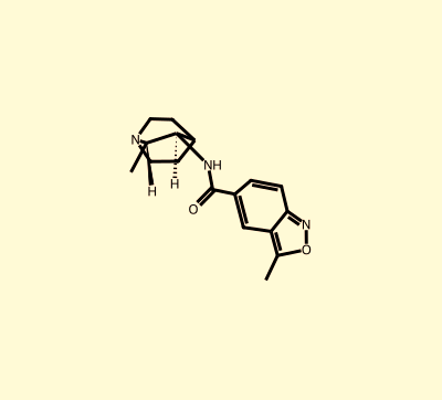 Cc1onc2ccc(C(=O)N[C@@H]3C4CCN(CC4)[C@H]3C)cc12